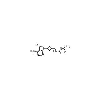 Cc1cccc(NCC2CC(n3cc(Br)c4c(N)ncnc43)C2)n1